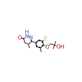 Cc1cc(C2=NNC(=O)CC2C)cc(F)c1OCC(C)(C)O